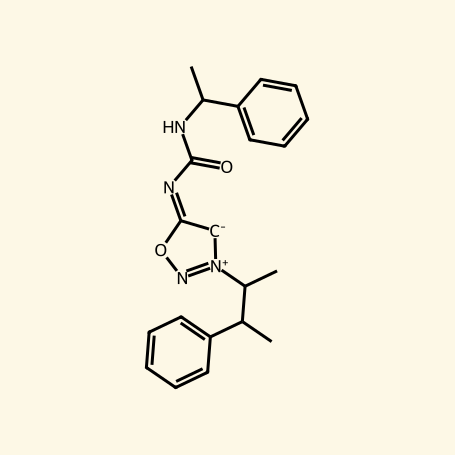 CC(NC(=O)/N=c1\[cH-][n+](C(C)C(C)c2ccccc2)no1)c1ccccc1